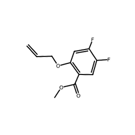 C=CCOc1cc(F)c(F)cc1C(=O)OC